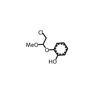 COC(CCl)Oc1ccccc1O